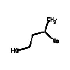 [CH2][CH]([Na])CCO